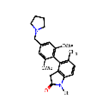 CCN1C(=O)Cc2c1ccc(C)c2-c1c(OC)cc(CN2CCCC2)cc1OC